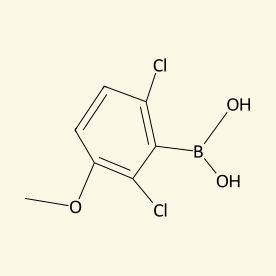 COc1ccc(Cl)c(B(O)O)c1Cl